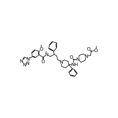 COC(=O)CN1CCN(C(=O)NC2(c3ccccc3)CCN(CCC(CN(C)C(=O)c3cc(-n4cnnn4)ccc3OC)c3ccccc3)CC2)CC1